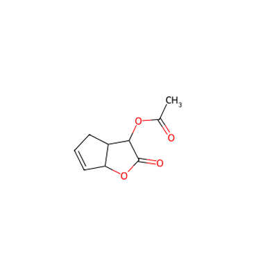 CC(=O)OC1C(=O)OC2C=CCC21